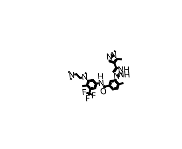 Cc1ccc(C(=O)Nc2cc(N(C)CCN(C)C)c(C)c(C(F)(F)F)c2)cc1N1C=C(c2cnn(C)c2C)NN1